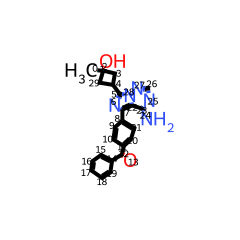 CC1(O)CC(c2nc(-c3ccc(C(=O)c4ccccc4)cc3)c3c(N)ncnn23)C1